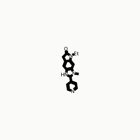 CCN1C(=O)Cc2cc3c(cc21)N(C)C(c1ccncc1)N3